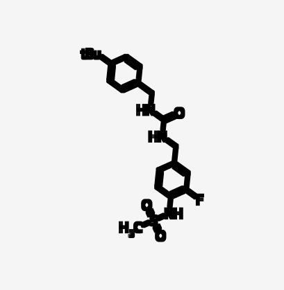 CC(C)(C)c1ccc(CNC(=O)NCc2ccc(NS(C)(=O)=O)c(F)c2)cc1